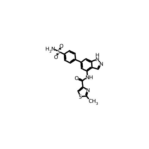 Cc1nc(C(=O)Nc2cc(-c3ccc(S(N)(=O)=O)cc3)cc3[nH]ncc23)cs1